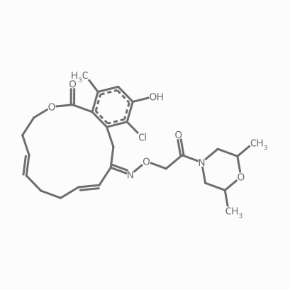 Cc1cc(O)c(Cl)c2c1C(=O)OCC/C=C/CC/C=C/C(=N/OCC(=O)N1CC(C)OC(C)C1)C2